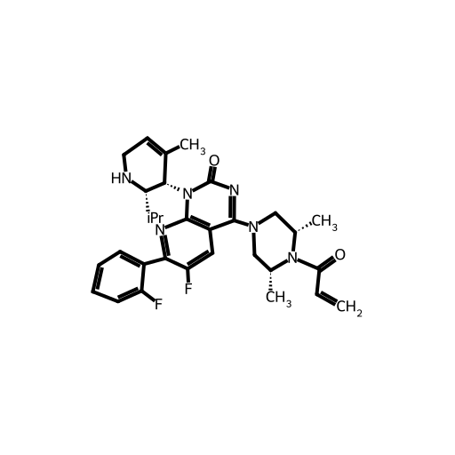 C=CC(=O)N1[C@H](C)CN(c2nc(=O)n([C@H]3C(C)=CCN[C@H]3C(C)C)c3nc(-c4ccccc4F)c(F)cc23)C[C@@H]1C